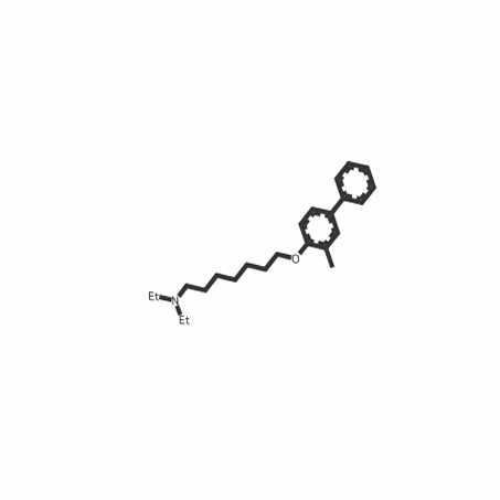 CCN(CC)CCCCCCCOc1ccc(-c2ccccc2)cc1C